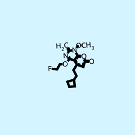 C=C1N=C(OCCF)c2c(CCC3CCC3)cc(=O)oc2N1OC